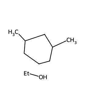 CC1CCCC(C)C1.CCO